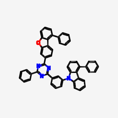 c1ccc(-c2nc(-c3cccc(-n4c5ccccc5c5c(-c6ccccc6)cccc54)c3)nc(-c3ccc4c(c3)oc3cccc(-c5ccccc5)c34)n2)cc1